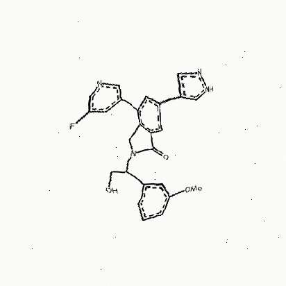 COc1cccc(C(CO)N2Cc3c(cc(-c4cn[nH]c4)cc3-c3cncc(F)c3)C2=O)c1